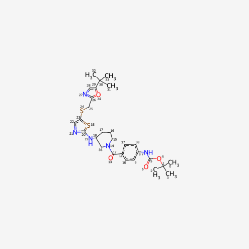 CC(C)(C)OC(=O)Nc1ccc(C(=O)N2CCCC(Nc3ncc(SCc4ncc(C(C)(C)C)o4)s3)C2)cc1